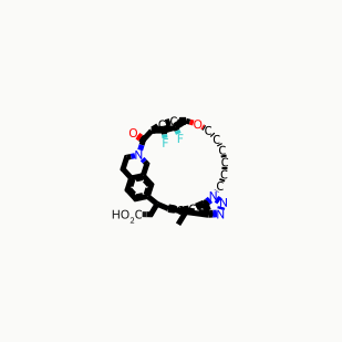 Cc1c2ccc3c1nnn3CCCCCCOc1ccc(c(F)c1F)C(=O)N1CCc3ccc(cc3C1)C2CC(=O)O